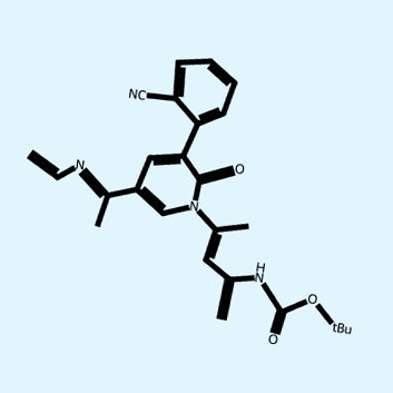 C=C/N=C(\C)c1cc(-c2ccccc2C#N)c(=O)n(/C(C)=C/C(=C)NC(=O)OC(C)(C)C)c1